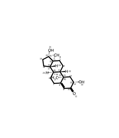 C[C@]12CC[C@H]3[C@@H](CCC4=CC(=O)[C@@H](O)C[C@@]43C)[C@@H]1CC[C@@H]2O